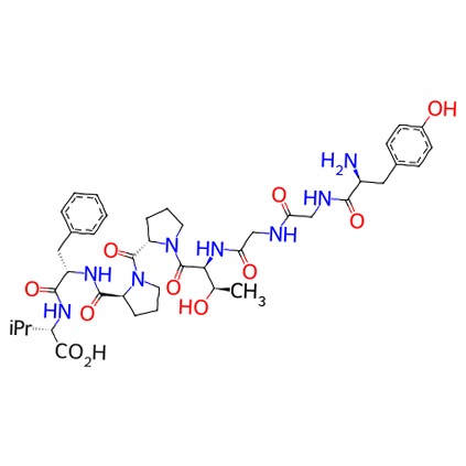 CC(C)[C@H](NC(=O)[C@H](Cc1ccccc1)NC(=O)[C@@H]1CCCN1C(=O)[C@@H]1CCCN1C(=O)[C@@H](NC(=O)CNC(=O)CNC(=O)[C@@H](N)Cc1ccc(O)cc1)[C@@H](C)O)C(=O)O